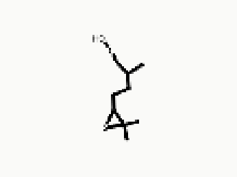 CC(CCO)CCC1SC1(C)C